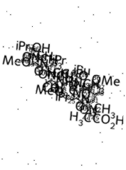 C/C=C(\C(=O)N(C)C(COC)C(=O)C(C)C(C(=O)NC(C)C(=O)N(C)C(CC(C)C)C(=O)NC(Cc1ccc(OC)cc1)C(=O)N(C)C(C)C(=O)O)C(C)CC)N(C)C(=O)C(CC(C)C)N(C)C(=O)C(COC)N(C)C(=O)C(O)C(C)C